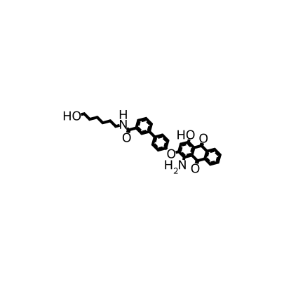 Nc1c(Oc2ccc(-c3cccc(C(=O)NCCCCCCO)c3)cc2)cc(O)c2c1C(=O)c1ccccc1C2=O